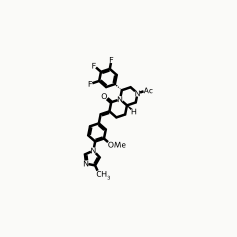 COc1cc(C=C2CC[C@H]3CN(C(C)=O)C[C@@H](c4cc(F)c(F)c(F)c4)N3C2=O)ccc1-n1cnc(C)c1